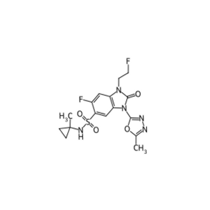 Cc1nnc(-n2c(=O)n(CCF)c3cc(F)c(S(=O)(=O)NC4(C)CC4)cc32)o1